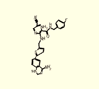 C=C(C#N)/C=N\C(NCC1=CC[C@@H](c2ccc3c(c2)C(N)=NCN3)S1)=C(/N)C(=O)NCc1ccc(F)cc1